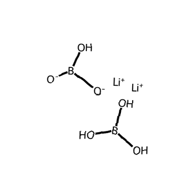 OB(O)O.[Li+].[Li+].[O-]B([O-])O